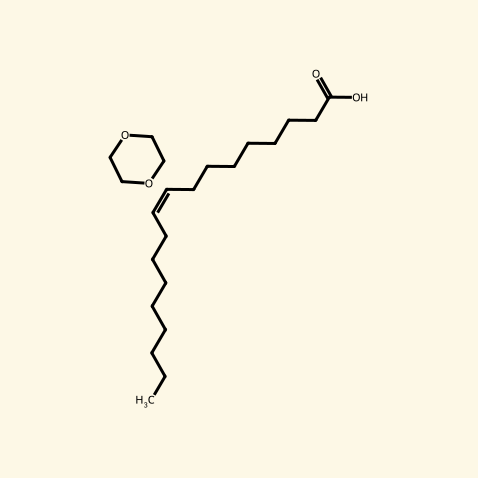 C1COCCO1.CCCCCCCC/C=C\CCCCCCCC(=O)O